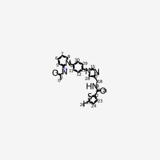 CC(=O)/N=c1\ccccn1-c1ccc(-n2cnc(CNC(=O)c3ccc(I)s3)c2)cc1